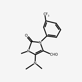 CN(C)c1c(C=O)n(-c2cccc(C(F)(F)F)c2)c(=O)n1C